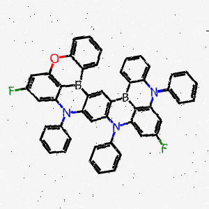 Fc1cc2c3c(c1)N(c1ccccc1)c1cc4c(cc1B3c1ccccc1O2)B1c2ccccc2N(c2ccccc2)c2cc(F)cc(c21)N4c1ccccc1